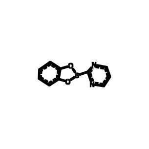 c1cnc(B2Oc3ccccc3O2)nc1